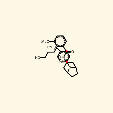 CCOC(=O)c1ccc(N2C3CCC2CC(NC(=O)c2cccc(OC)c2CCCO)C3)nc1